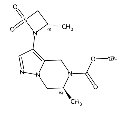 C[C@H]1Cn2ncc(N3[C@@H](C)CS3(=O)=O)c2CN1C(=O)OC(C)(C)C